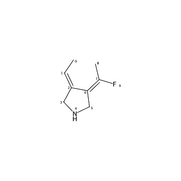 C/C=C1/CNC/C1=C(/C)F